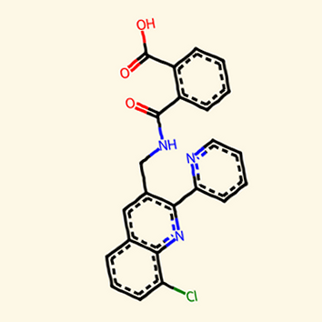 O=C(O)c1ccccc1C(=O)NCc1cc2cccc(Cl)c2nc1-c1ccccn1